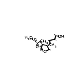 C1CCOC1.CCCCO.C[S+](C)[O-].O